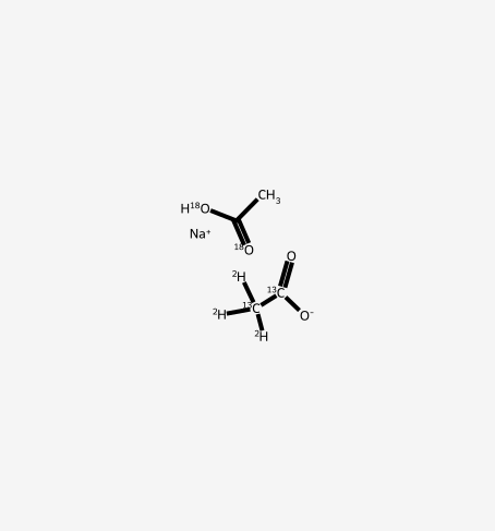 CC(=[18O])[18OH].[2H][13C]([2H])([2H])[13C](=O)[O-].[Na+]